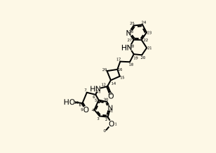 COc1ccc(C(CC(=O)O)NC(=O)C2CC(CCC3CCc4cccnc4N3)C2)cn1